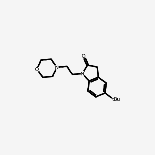 CC(C)(C)c1ccc2c(c1)CC(=O)N2CCN1CCOCC1